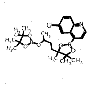 CC(CCC1(C)OB(c2ccnc3ccc(Cl)cc23)OC1(C)C)OB1OC(C)(C)C(C)(C)O1